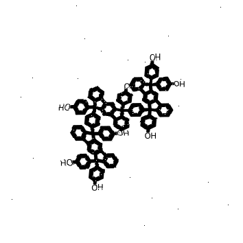 Oc1ccc(C2(c3ccc(O)cc3)c3ccccc3-c3cc4c(cc32)-c2ccccc2C4(c2ccc(O)cc2)c2ccc(C3(c4ccc(O)cc4)c4ccccc4-c4cc5c(cc43)-c3ccccc3C5(c3ccc(O)cc3)c3ccc(C4(c5ccc(O)cc5)c5ccccc5-c5cc6c(cc54)-c4ccccc4C6(c4ccc(O)cc4)c4ccc(O)cc4)cc3)cc2)cc1